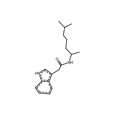 CC(C)CCCC(C)NC(=O)Cc1c[nH]c2ccccc12